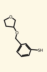 Sc1cccc(COC2CCOC2)c1